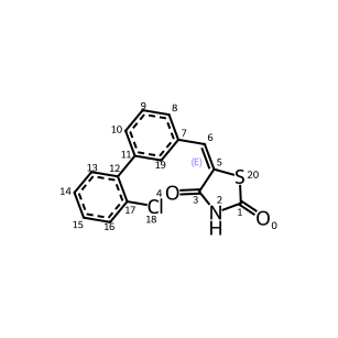 O=C1NC(=O)/C(=C\c2cccc(-c3ccccc3Cl)c2)S1